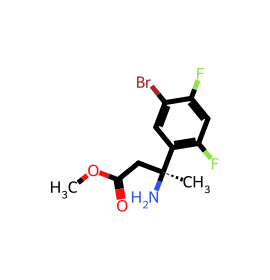 COC(=O)C[C@](C)(N)c1cc(Br)c(F)cc1F